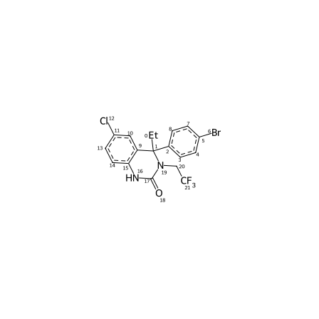 CCC1(c2ccc(Br)cc2)c2cc(Cl)ccc2NC(=O)N1CC(F)(F)F